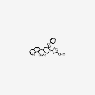 COc1c(C2CCN(C3COC(C=O)C3)C(F)(Oc3ccccc3)C2)ccc2cccnc12